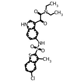 CCN(CC)C(=O)C(=O)c1c[nH]c2ccc(NS(=O)(=O)c3sc4ccc(Cl)cc4c3C)cc12